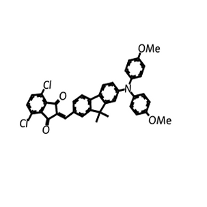 COc1ccc(N(c2ccc(OC)cc2)c2ccc3c(c2)C(C)(C)c2cc(C=C4C(=O)c5c(Cl)ccc(Cl)c5C4=O)ccc2-3)cc1